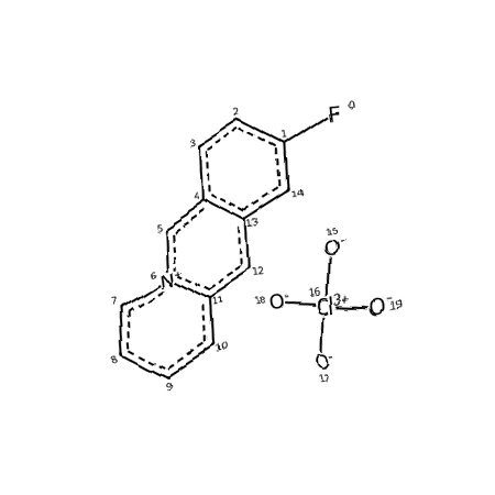 Fc1ccc2c[n+]3ccccc3cc2c1.[O-][Cl+3]([O-])([O-])[O-]